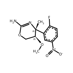 CO[C@H]1COC(N)=N[C@]1(C)c1cc([N+](=O)[O-])ccc1F